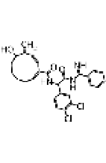 C=C1/C=C\C(C(=O)NC(C(=O)NC(=N)c2ccccc2)c2ccc(Cl)c(Cl)c2)=C/CCCCC1O